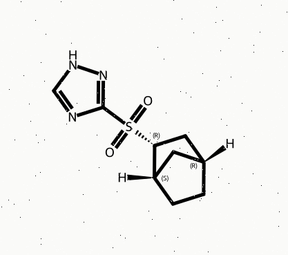 O=S(=O)(c1nc[nH]n1)[C@@H]1C[C@@H]2CC[C@H]1C2